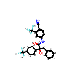 N#Cc1ccc(NC(=O)C(O)(Cc2ccccc2)C2CCC(C(F)(F)F)CC2)cc1C(F)(F)F